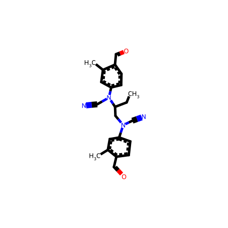 CCC(CN(C#N)c1ccc(C=O)c(C)c1)N(C#N)c1ccc(C=O)c(C)c1